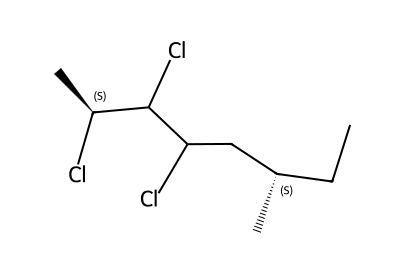 CC[C@H](C)CC(Cl)C(Cl)[C@H](C)Cl